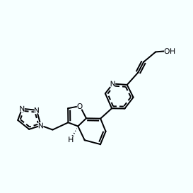 OCC#Cc1ccc(C2=C3OC=C(Cn4ccnn4)[C@@H]3CC=C2)cn1